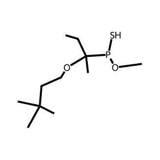 CCC(C)(OCCC(C)(C)C)P(S)OC